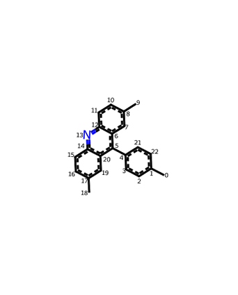 Cc1ccc(-c2c3cc(C)ccc3nc3ccc(C)cc23)cc1